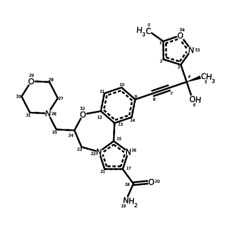 Cc1cc([C@](C)(O)C#Cc2ccc3c(c2)-c2nc(C(N)=O)cn2CC(CN2CCOCC2)O3)no1